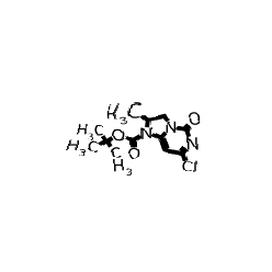 CC1Cn2c(cc(Cl)nc2=O)N1C(=O)OC(C)(C)C